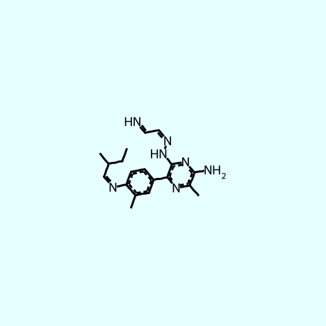 CCC(C)/C=N\c1ccc(-c2nc(C)c(N)nc2N/N=C\C=N)cc1C